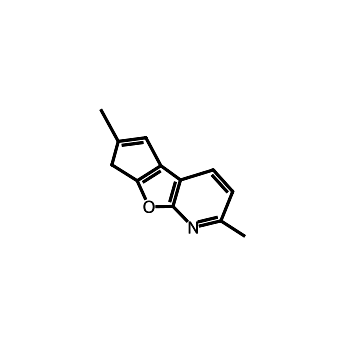 CC1=Cc2c(oc3nc(C)ccc23)C1